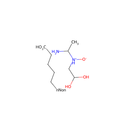 CC(N)[NH+]([O-])CC(O)O.CCCCCCCCCCCCCC(=O)O